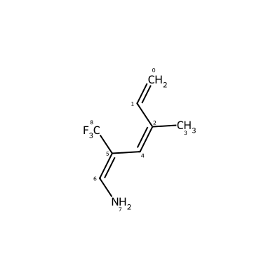 C=C/C(C)=C\C(=C/N)C(F)(F)F